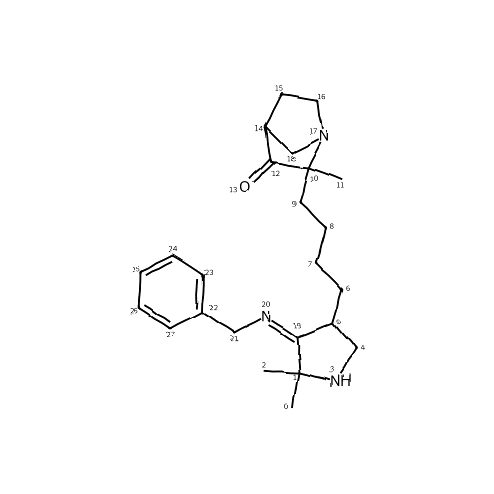 CC1(C)NCC(CCCCC2(C)C(=O)C3CCN2C3)/C1=N/Cc1ccccc1